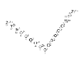 [O-2].[O-2].[O-2].[O-2].[O-2].[O-2].[O-2].[O-2].[O-2].[O-2].[O-2].[Ti+4].[Ti+4].[Y+3].[Y+3].[Zr+4].[Zr+4]